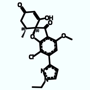 CCn1ccc(-c2cc(OC)c3c(c2Cl)O[C@]2(C3=O)C(O)=CC(=O)C[C@H]2C)n1